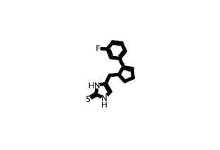 Fc1cccc(C2=CCCC2Cc2c[nH]c(=S)[nH]2)c1